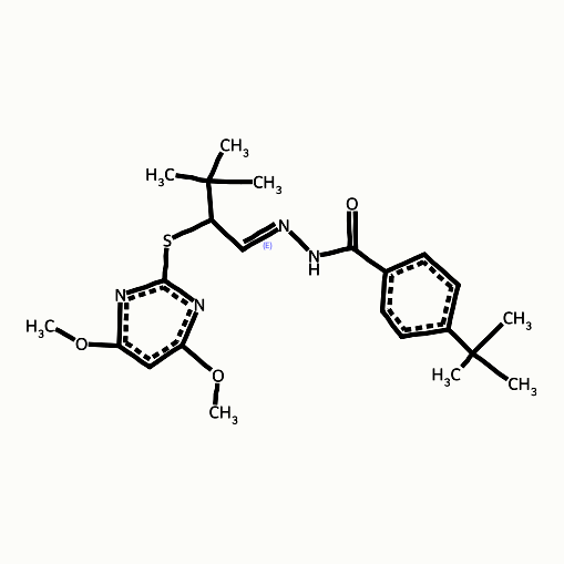 COc1cc(OC)nc(SC(/C=N/NC(=O)c2ccc(C(C)(C)C)cc2)C(C)(C)C)n1